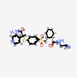 CC(Sc1ccc(S(=O)(=O)C[C@H]2CCCC[C@@H]2C(=O)NCC#N)cc1)(C(N)=O)c1ccncc1